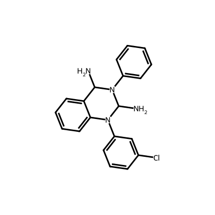 NC1c2ccccc2N(c2cccc(Cl)c2)C(N)N1c1ccccc1